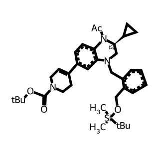 CC(=O)N1c2ccc(C3=CCN(C(=O)OC(C)(C)C)CC3)cc2N(Cc2ccccc2CO[Si](C)(C)C(C)(C)C)C[C@@H]1C1CC1